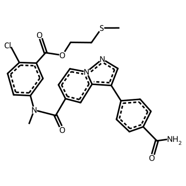 CSCCOC(=O)c1cc(N(C)C(=O)c2ccn3ncc(-c4ccc(C(N)=O)cc4)c3c2)ccc1Cl